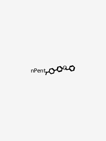 CCCCCC(C)C1CC=C(c2ccc(OCc3ccccc3)cc2)CC1